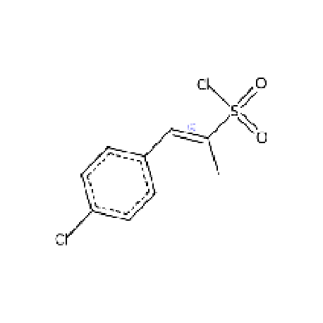 C/C(=C\c1ccc(Cl)cc1)S(=O)(=O)Cl